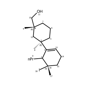 CCCC1C([C@]2(C)CCC[C@@](C)(CO)C2)=CCC[C@]1(C)I